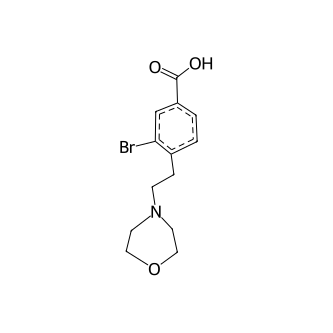 O=C(O)c1ccc(CCN2CCOCC2)c(Br)c1